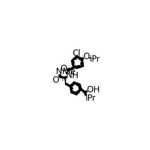 CNC(=O)[C@H](Cc1ccc(C(O)C(C)C)cc1)NC(=O)c1ccc(OC(C)C)c(Cl)c1